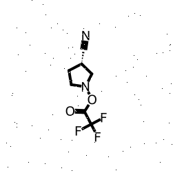 N#C[C@H]1CCN(OC(=O)C(F)(F)F)C1